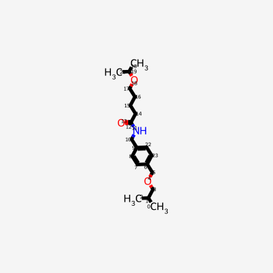 CC(C)COCc1ccc(CNC(=O)CCCCOC(C)C)cc1